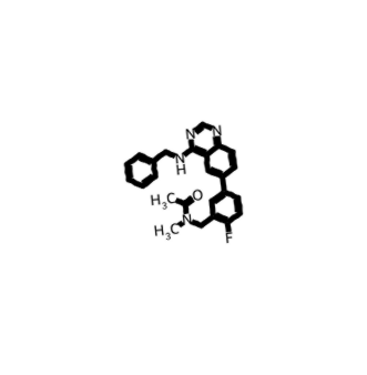 CC(=O)N(C)Cc1cc(-c2ccc3ncnc(NCc4ccccc4)c3c2)ccc1F